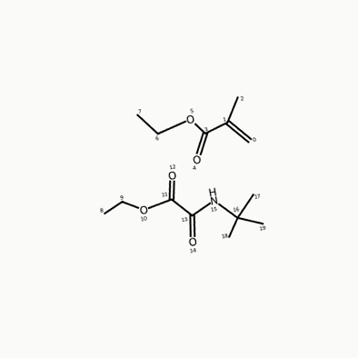 C=C(C)C(=O)OCC.CCOC(=O)C(=O)NC(C)(C)C